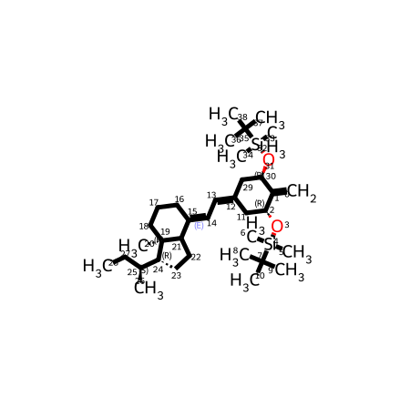 C=C1[C@H](O[Si](C)(C)C(C)(C)C)CC(=C/C=C2\CCC[C@@]3(C)C2CC[C@@H]3[C@@H](C)CC)C[C@H]1O[Si](C)(C)C(C)(C)C